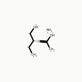 CC(=O)O.CCCCO.N